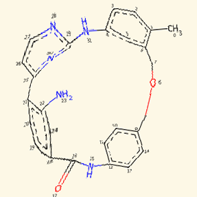 Cc1ccc2cc1COc1ccc(cc1)NC(=O)c1ccc(c(N)c1)-c1ccnc(n1)N2